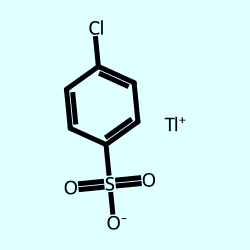 O=S(=O)([O-])c1ccc(Cl)cc1.[Tl+]